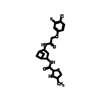 CC1CSC(C(=O)NC2CC(NC(=O)COc3ccc(Cl)c(F)c3)C3CC2C3)N1